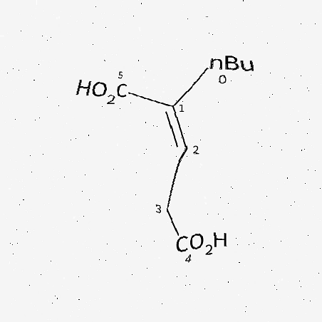 CCCCC(=CCC(=O)O)C(=O)O